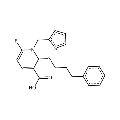 O=C(O)C1=CC=C(F)N(Cc2cccs2)C1SCCCc1ccccc1